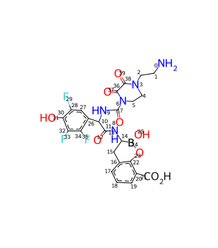 NCCN1CCN(C(=O)NC(C(=O)NC2Cc3cccc(C(=O)O)c3OB2O)c2cc(F)c(O)c(F)c2F)C(=O)C1=O